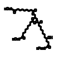 CCCCCCCCC1OC1CCCCCCCC(=O)OCC(COC(=O)CCCCCCCC(O)CCC1OC1CCCCC)OC(=O)CCCCCCCC1OC1CCCCCCCC